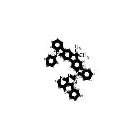 CC1(C)c2cc3c4ccccc4n(-c4ccccc4)c3cc2-c2cc3c(cc21)c1ccccc1n3-c1nc2c3c(ccnc3n1)Sc1ccccc1-2